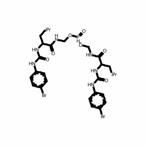 CC(C)CC(NC(=O)Nc1ccc(Br)cc1)C(=O)NCO[PH](=O)OCNC(=O)C(CC(C)C)NC(=O)Nc1ccc(Br)cc1